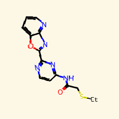 CCSCC(=O)Nc1ccnc(-c2nc3ncccc3o2)n1